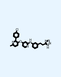 Cc1ccc(Oc2ccnc(Nc3cccc(CCc4nnn[nH]4)c3)c2)c(-c2ccc(Cl)cc2)n1